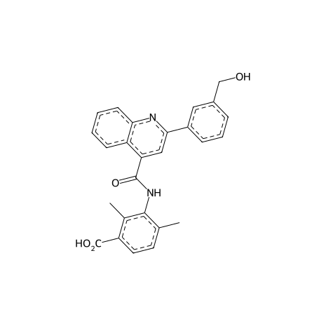 Cc1ccc(C(=O)O)c(C)c1NC(=O)c1cc(-c2cccc(CO)c2)nc2ccccc12